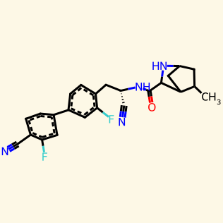 CC1CC2CC1C(C(=O)N[C@H](C#N)Cc1ccc(-c3ccc(C#N)c(F)c3)cc1F)N2